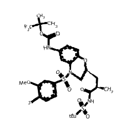 COc1cc(S(=O)(=O)N2C[C@H](C[C@@H](C)C(=O)NS(=O)(=O)C(C)(C)C)Oc3ccc(NC(=O)OC(C)(C)C(F)(F)F)cc32)ccc1F